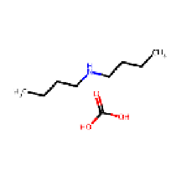 CCCCNCCCC.O=C(O)O